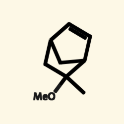 COC1(C)CC2C=CC1C2